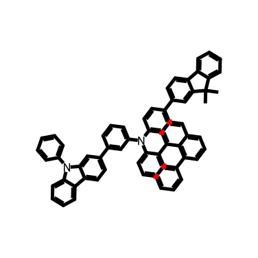 CC1(C)c2ccccc2-c2ccc(-c3ccc(N(c4cccc(-c5ccc6c7ccccc7n(-c7ccccc7)c6c5)c4)c4ccccc4-c4cccc5cccc(-c6ccccc6)c45)cc3)cc21